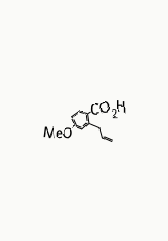 C=CCc1cc(OC)ccc1C(=O)O